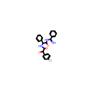 N=C(NC(=O)C(NC(=O)C(=O)c1ccc(Cl)cc1)c1ccccc1)c1ccccc1